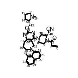 C=CC(=O)N1CCN(c2nc(OC[C@@H]3CCCN3C)nc3c2CN(c2cccc4cccc(C)c24)CCC3)C[C@@H]1CC#N